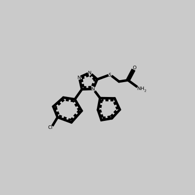 NC(=O)CSc1nnc(-c2ccc(Cl)cc2)n1-c1ccccc1